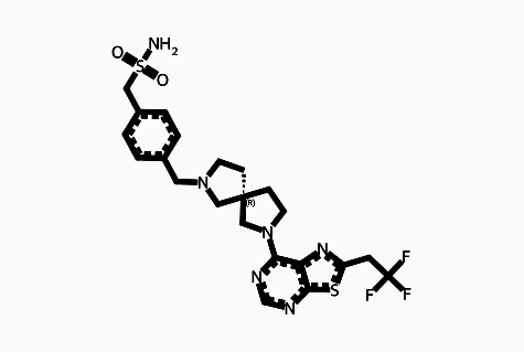 NS(=O)(=O)Cc1ccc(CN2CC[C@@]3(CCN(c4ncnc5sc(CC(F)(F)F)nc45)C3)C2)cc1